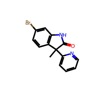 CC1(c2ccccn2)C(=O)Nc2cc(Br)ccc21